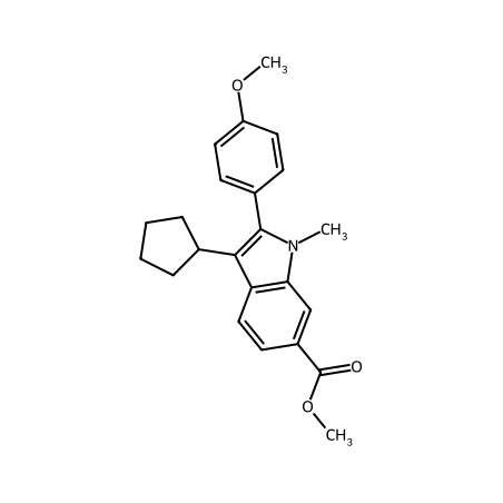 COC(=O)c1ccc2c(C3CCCC3)c(-c3ccc(OC)cc3)n(C)c2c1